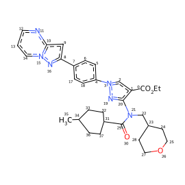 CCOC(=O)c1cn(-c2ccc(-c3cc4ncccn4n3)cc2)nc1N(CC1CCOCC1)C(=O)C1CCC(C)CC1